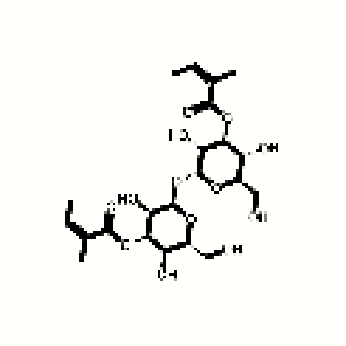 C/C=C(/C)C(=O)O[C@@H]1[C@@H](O)[C@@H](O[C@H]2O[C@H](CO)[C@@H](O)[C@H](OC(=O)/C(C)=C\C)[C@H]2O)O[C@H](CO)[C@H]1O